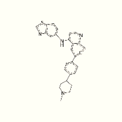 CN1CCC(c2ccc(-c3ccc4nccc(Nc5ccc6scnc6c5)c4c3)cc2)CC1